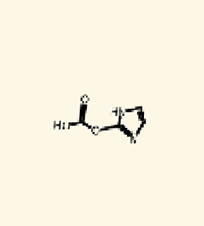 O=C(O)Oc1ncc[nH]1